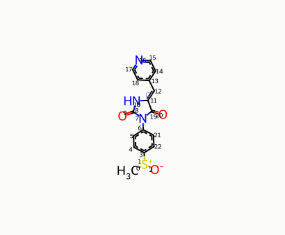 C[S+]([O-])c1ccc(N2C(=O)N/C(=C\c3ccncc3)C2=O)cc1